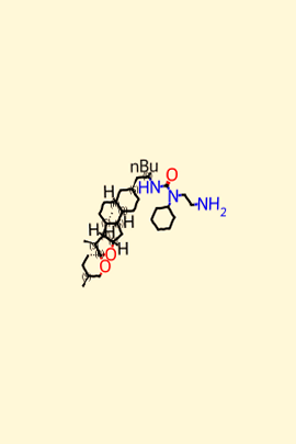 CCCC[C@H](C[C@H]1CC[C@@H]2[C@H](CC[C@]3(C)[C@@H]4[C@H](C[C@@H]23)O[C@]2(CC[C@H](C)CO2)[C@H]4C)C1)NC(=O)N(CCN)C1CCCCC1